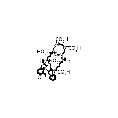 NCCCC[C@@H](NC(=O)[C@@H](Cc1ccccc1)NC(=O)[C@@H](Cc1ccc(O)c(I)c1)NC(=O)CCC(C(=O)O)N1CCN(CC(=O)O)CCN(CC(=O)O)CCN(CC(=O)O)CC1)C(=O)O